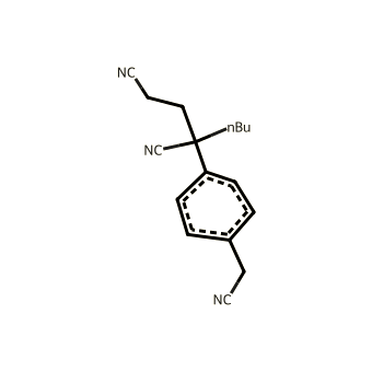 CCCCC(C#N)(CCC#N)c1ccc(CC#N)cc1